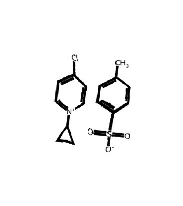 Cc1ccc(S(=O)(=O)[O-])cc1.Clc1cc[n+](C2CC2)cc1